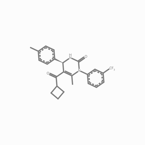 CC1=C(C(=O)C2CCC2)[C@@H](c2ccc(C)cc2)NC(=O)N1c1cccc(C(F)(F)F)c1